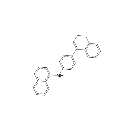 C1=C(c2ccc(Nc3cccc4ccccc34)cc2)c2ccccc2CC1